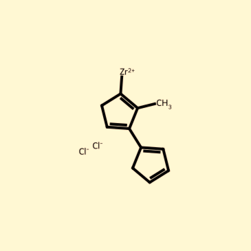 CC1=[C]([Zr+2])CC=C1C1=CC=CC1.[Cl-].[Cl-]